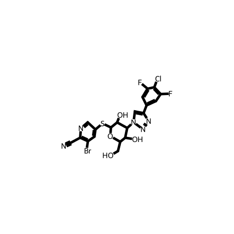 N#Cc1ncc(SC2OC(CO)C(O)C(n3cc(-c4cc(F)c(Cl)c(F)c4)nn3)C2O)cc1Br